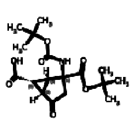 CC(C)(C)OC(=O)N[C@@]1(C(=O)OC(C)(C)C)CC(=O)[C@H]2[C@H](C(=O)O)[C@H]21